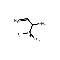 C=CC(N)[SiH](C)C